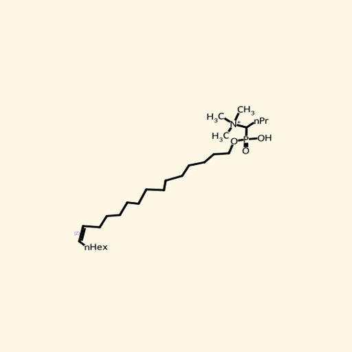 CCCCCC/C=C\CCCCCCCCCCCCCOP(=O)(O)C(CCC)[N+](C)(C)C